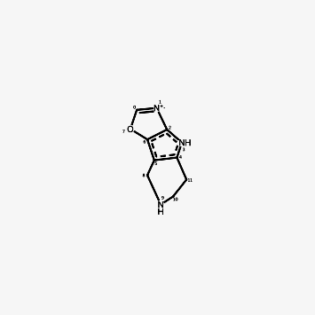 C1=[N+]c2[nH]c3c(c2O1)CNCC3